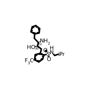 CC(C)CNS(=O)(=O)c1ccc(C(F)(F)F)cc1C[C@@H](O)[C@@H](N)Cc1ccccc1